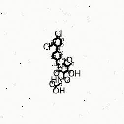 O=C(O)CNC(=O)c1c(O)c2c(n(Cc3ccc(-c4ccc(Cl)cc4Cl)cc3)c1=O)COC2